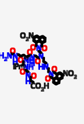 CC(C)[C@H](NC(=O)CNC(=O)CCC(=O)O)C(=O)N[C@@H](CCCNC(N)=O)C(=O)NCC(=O)N(CCCNCCN1C(=O)c2cccc3cc([N+](=O)[O-])cc(c23)C1=O)CCN1C(=O)c2cccc3cc([N+](=O)[O-])cc(c23)C1=O